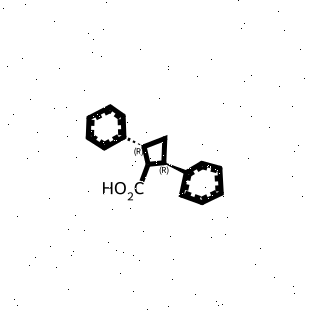 O=C(O)C1[C@H](c2ccccc2)C[C@H]1c1ccccc1